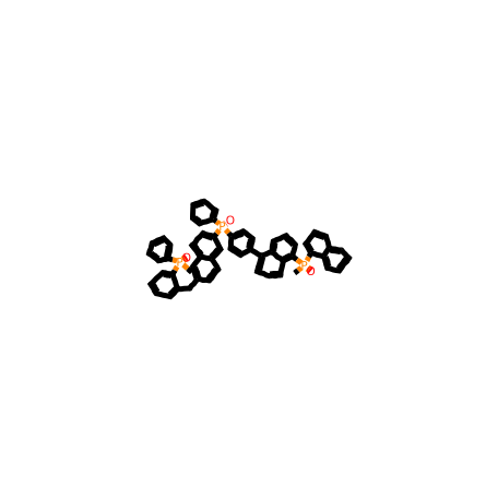 CP(=O)(c1ccccc1)c1ccccc1Cc1ccc2cc(P(=O)(c3ccccc3)c3ccc(-c4cccc5c(P(C)(=O)c6cccc7ccccc67)cccc45)cc3)ccc2c1